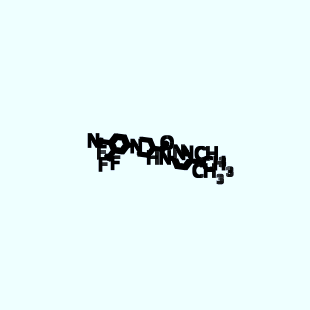 CC(C)(C)c1ccc(NC(=O)C2CCN(c3ccc(C#N)c(C(F)(F)F)c3)CC2)nn1